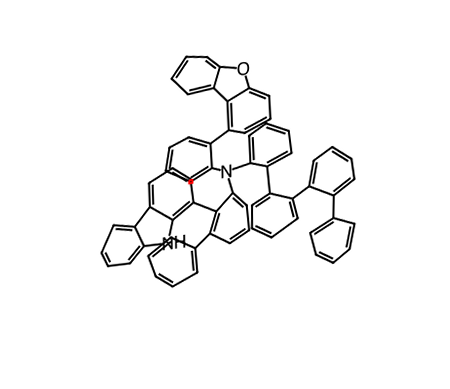 c1ccc(-c2ccccc2-c2ccccc2-c2ccccc2N(c2ccccc2-c2cccc3oc4ccccc4c23)c2cccc(-c3ccccc3)c2-c2cccc3c2[nH]c2ccccc23)cc1